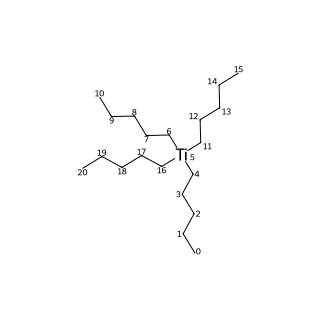 CCCC[CH2][Ti]([CH2]CCCC)([CH2]CCCC)[CH2]CCCC